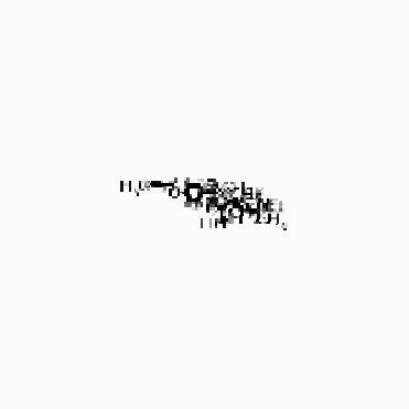 CC#CCOc1ccc(S(=O)(=O)N(C)C(C(=O)NO)C(C)(C)SCC(C)N(CC)CC)cc1